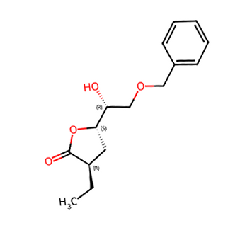 CC[C@@H]1C[C@@H]([C@H](O)COCc2ccccc2)OC1=O